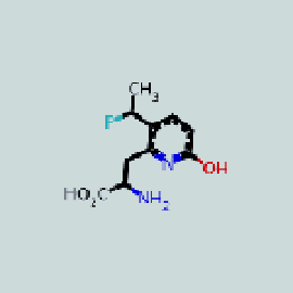 CC(F)c1ccc(O)nc1CC(N)C(=O)O